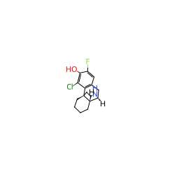 Oc1c(F)cc2c(c1Cl)[C@@]13CCCC[C@H]1[C@@H](C2)NCC3